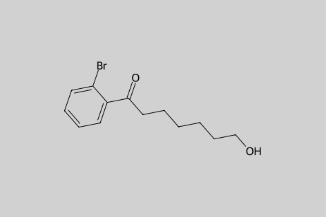 O=C(CCCCCCO)c1ccccc1Br